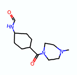 CN1CCN(C(=O)C2CCC(NC=O)CC2)CC1